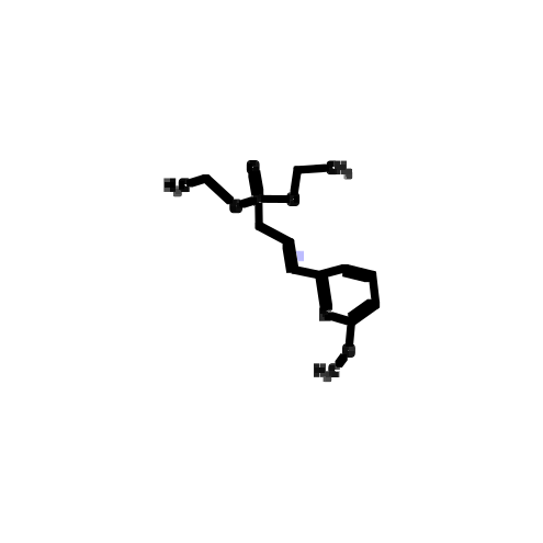 CCOP(=O)(C/C=C/c1cccc(OC)n1)OCC